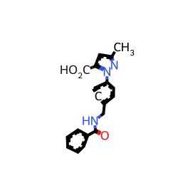 Cc1cc(C(=O)O)n(-c2ccc(CNC(=O)c3ccccc3)cc2)n1